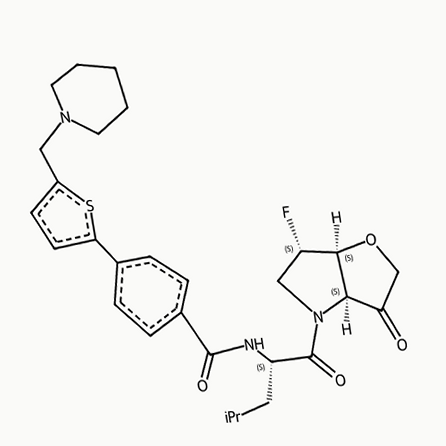 CC(C)C[C@H](NC(=O)c1ccc(-c2ccc(CN3CCCCC3)s2)cc1)C(=O)N1C[C@H](F)[C@H]2OCC(=O)[C@H]21